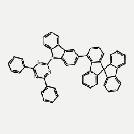 c1ccc(-c2nc(-c3ccccc3)nc(-n3c4ccccc4c4cc(-c5cccc6c5-c5ccccc5C65c6ccccc6-c6ccccc65)ccc43)n2)cc1